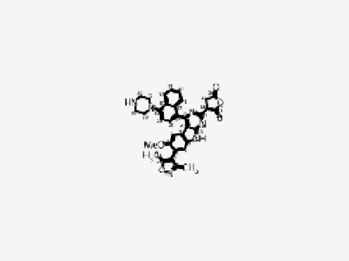 COc1cc2c(cc1-c1c(C)noc1C)[nH]c1nc(C3CC(=O)OC3=O)nc(-c3ccc(N4CCNCC4)c4ccccc34)c12